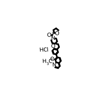 COc1c(-c2ccc3c(c2)CCC2(CCN(C(=O)[C@H]4CCCO4)CC2)O3)ccc2cccnc12.Cl